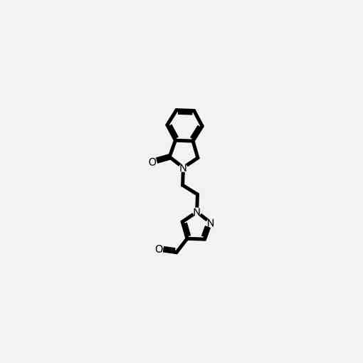 O=Cc1cnn(CCN2Cc3ccccc3C2=O)c1